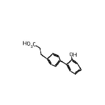 O=C(O)CCc1ccc(-c2ccccc2O)cc1